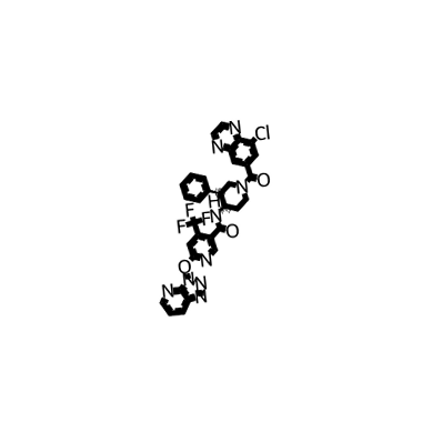 O=C(N[C@@H]1CCN(C(=O)c2cc(Cl)c3nccnc3c2)C[C@@H]1c1ccccc1)c1cnc(On2nnc3cccnc32)cc1C(F)(F)F